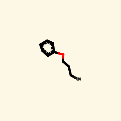 N#CC[CH]COc1ccccc1